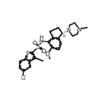 COc1ccc2c(c1NS(=O)(=O)c1sc3ccc(Cl)cc3c1C)CC[C@@H]2N1CCN(C)CC1